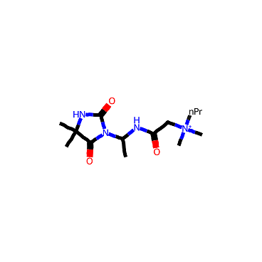 CCC[N+](C)(C)CC(=O)NC(C)N1C(=O)NC(C)(C)C1=O